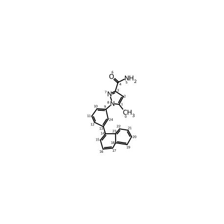 Cc1cc(C(N)=O)nn1-c1cccc(-c2cccc3ccccc23)c1